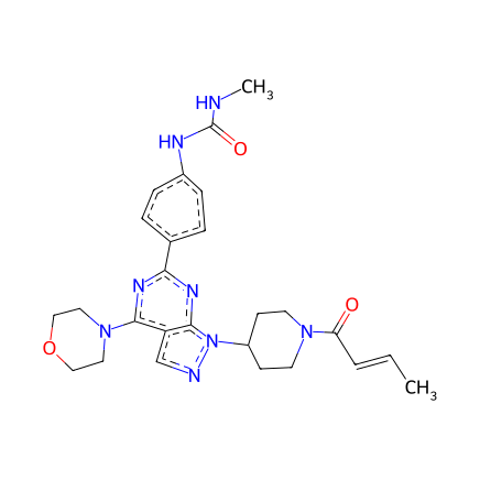 C/C=C/C(=O)N1CCC(n2ncc3c(N4CCOCC4)nc(-c4ccc(NC(=O)NC)cc4)nc32)CC1